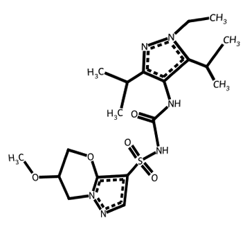 CCn1nc(C(C)C)c(NC(=O)NS(=O)(=O)c2cnn3c2OCC(OC)C3)c1C(C)C